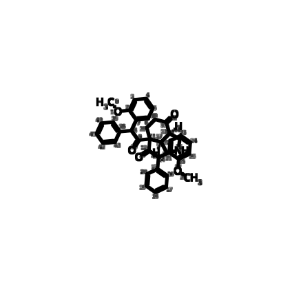 COc1ccccc1C(C(=O)C1(C(=O)C(c2ccccc2)c2ccccc2OC)CCC(=O)[C@H]2CNC[C@H]21)c1ccccc1